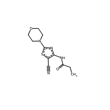 CCC(=O)Nc1nc(N2CCOCC2)sc1C#N